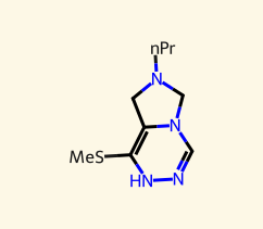 CCCN1CC2=C(SC)NN=CN2C1